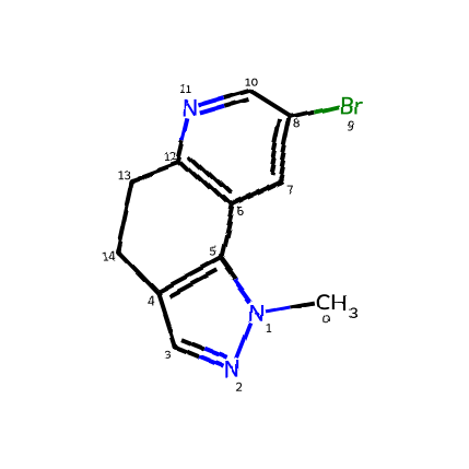 Cn1ncc2c1-c1cc(Br)cnc1CC2